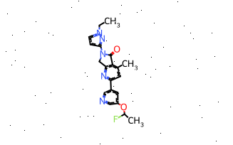 CCn1ccc(N2Cc3nc(-c4cncc(OC(C)F)c4)cc(C)c3C2=O)n1